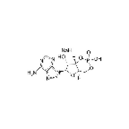 Nc1ncnc2c1ncn2[C@@H]1O[C@@H]2COP(=O)(O)O[C@H]2[C@H]1O.[NaH]